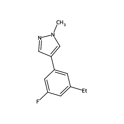 CCc1cc(F)cc(-c2cnn(C)c2)c1